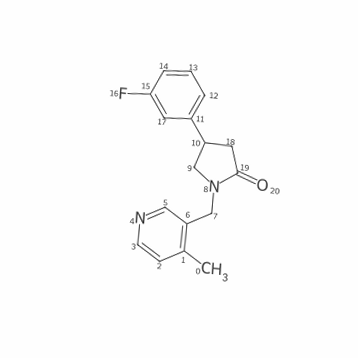 Cc1ccncc1CN1CC(c2cccc(F)c2)CC1=O